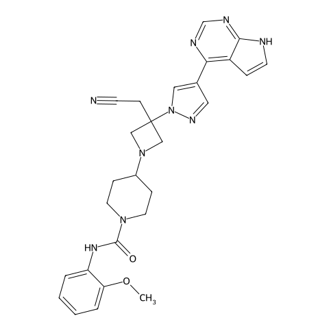 COc1ccccc1NC(=O)N1CCC(N2CC(CC#N)(n3cc(-c4ncnc5[nH]ccc45)cn3)C2)CC1